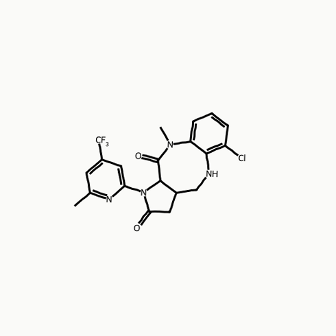 Cc1cc(C(F)(F)F)cc(N2C(=O)CC3CNc4c(Cl)cccc4N(C)C(=O)C32)n1